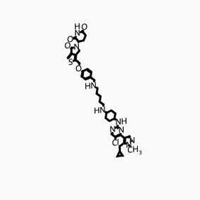 Cn1ncc(-c2nc(NC3CCC(NCCCCCNCc4ccc(OCc5scc6c5CN([C@H]5CCC(=O)NC5=O)C6=O)cc4)CC3)ncc2Cl)c1CC1CC1